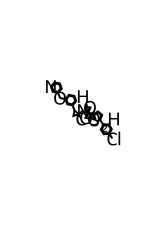 O=C(O)C1(NS(=O)(=O)c2ccc(-c3ccc(Cl)cc3)s2)CC1c1cccc(Oc2cccnc2)c1